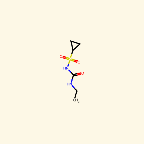 CCNC(=O)NS(=O)(=O)C1CC1